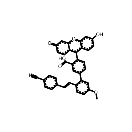 COc1ccc(/C=C/c2ccc(C#N)cc2)c(-c2ccc(-c3c4ccc(=O)cc-4oc4cc(O)ccc34)c(C(=O)O)c2)c1